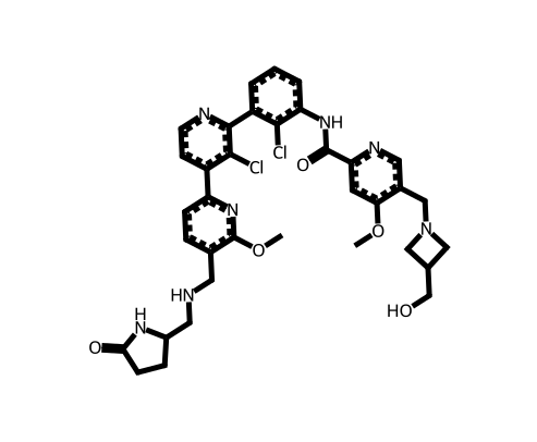 COc1cc(C(=O)Nc2cccc(-c3nccc(-c4ccc(CNCC5CCC(=O)N5)c(OC)n4)c3Cl)c2Cl)ncc1CN1CC(CO)C1